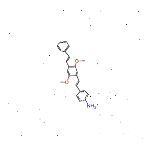 COc1cc(/C=C/c2ccc(N)cc2)c(OC)cc1/C=C/c1ccccc1